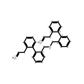 C=CCc1ccccc1-c1ccccc1COCc1ccccc1-c1ccccc1CC=C